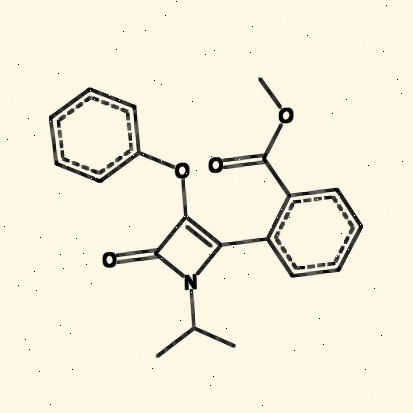 COC(=O)c1ccccc1C1=C(Oc2ccccc2)C(=O)N1C(C)C